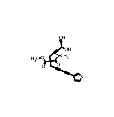 C#CC(O)C#CCC(CC#CC#Cc1ccsc1)(C(=O)OC)C(=O)OC